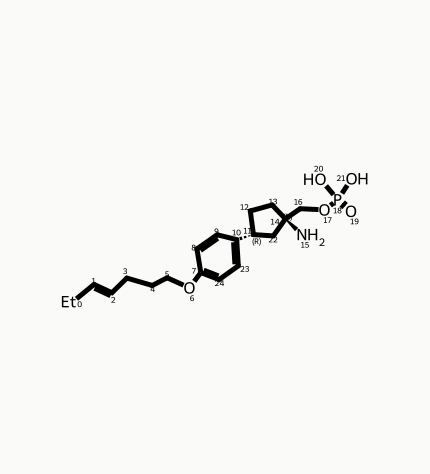 CCC=CCCCOc1ccc([C@@H]2CC[C@](N)(COP(=O)(O)O)C2)cc1